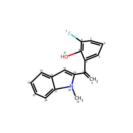 C=C(c1cccc(F)c1O)c1cc2ccccc2n1C